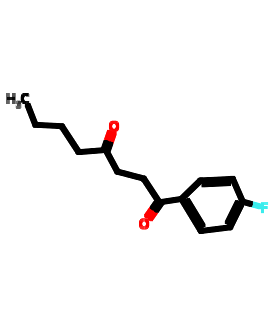 CCCCC(=O)CCC(=O)c1ccc(F)cc1